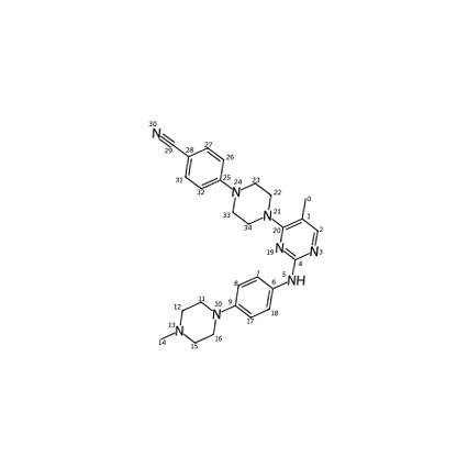 Cc1cnc(Nc2ccc(N3CCN(C)CC3)cc2)nc1N1CCN(c2ccc(C#N)cc2)CC1